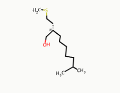 [CH2]SCC[C@@H](CO)CCCCCC(C)C